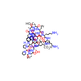 CC(C)C[C@H](NC(=O)[C@H](CC(=O)O)NC(=O)[C@H](C)NC(=O)[C@H](Cc1ccccc1)NC(=O)[C@H](C)NC(=O)[C@H](CCC(=O)O)NC(=O)[C@H](CCC(N)=O)NC(=O)[C@H](CO)NC(=O)[C@H](CC(C)C)NC(=O)[C@@H]1CCCN1C(=O)[C@@H]1CCCN1C(=O)[C@@H](N)CCC(=O)O)C(=O)N[C@@H](Cc1c[nH]c2ccccc12)C(=O)N[C@@H](CCCCN)C(=O)N[C@@H](CCCCN)C(=O)N[C@@H](CCCCN)C(=O)O